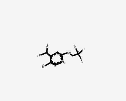 FC(F)c1cc(NCC(F)(F)F)ncc1Br